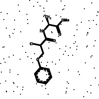 COC(=O)[C@H](C)NC(=O)C(Cl)COc1ccccc1